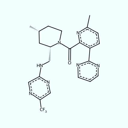 Cc1ccc(-c2ncccn2)c(C(=O)N2CC[C@@H](C)C[C@H]2CNc2cnc(C(F)(F)F)cn2)n1